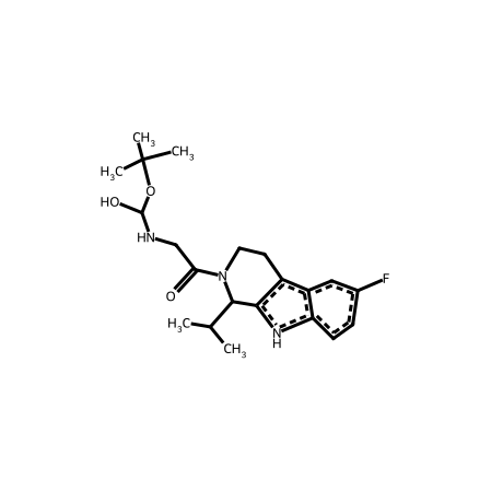 CC(C)C1c2[nH]c3ccc(F)cc3c2CCN1C(=O)CNC(O)OC(C)(C)C